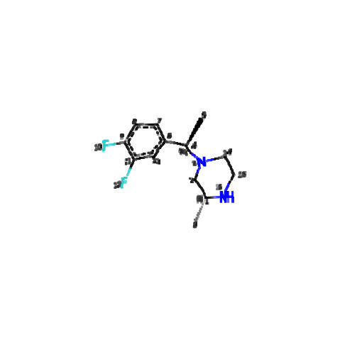 C[C@@H]1CN([C@H](C)c2ccc(F)c(F)c2)CCN1